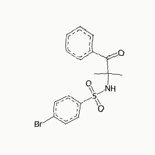 CC(C)(NS(=O)(=O)c1ccc(Br)cc1)C(=O)c1ccccc1